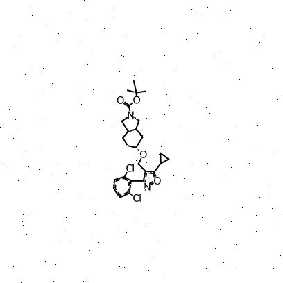 CC(C)(C)OC(=O)N1CC2CC[C@@H](OCc3c(-c4c(Cl)cccc4Cl)noc3C3CC3)CC2C1